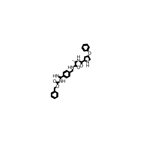 C[C@H](NC(=O)C1C[C@H](Oc2ccccc2)CN1)C(=O)NCc1ccc(C(=N)NC(=O)OCc2ccccc2)cc1